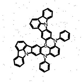 c1ccc(N2c3cc4c(cc3B3c5cc6c7cccc8c9ccccc9n(c6cc5N(c5ccccc5)c5cccc2c53)c87)c2cccc3c5ccccc5n4c32)cc1